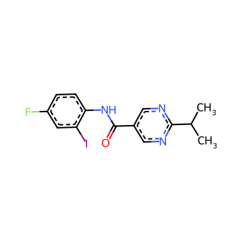 CC(C)c1ncc(C(=O)Nc2ccc(F)cc2I)cn1